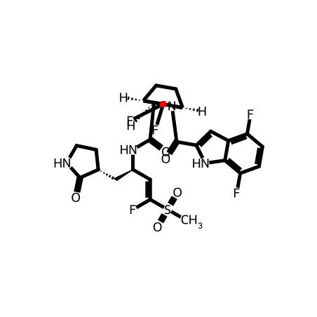 CS(=O)(=O)/C(F)=C/[C@@H](C[C@H]1CCNC1=O)NC(=O)[C@H]1[C@H]2CC[C@H](CC2(F)F)N1C(=O)c1cc2c(F)ccc(F)c2[nH]1